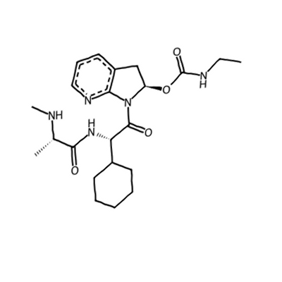 CCNC(=O)O[C@@H]1Cc2cccnc2N1C(=O)[C@@H](NC(=O)[C@H](C)NC)C1CCCCC1